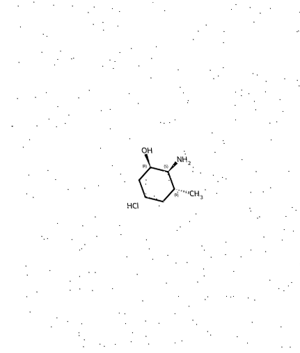 C[C@@H]1CCC[C@@H](O)[C@H]1N.Cl